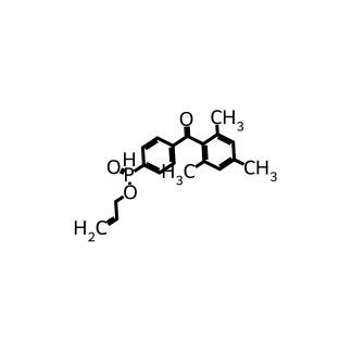 C=CCO[PH](=O)c1ccc(C(=O)c2c(C)cc(C)cc2C)cc1